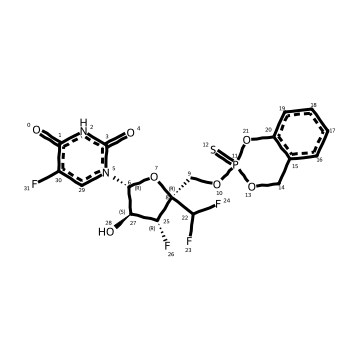 O=c1[nH]c(=O)n([C@@H]2O[C@@](COP3(=S)OCc4ccccc4O3)(C(F)F)[C@H](F)[C@H]2O)cc1F